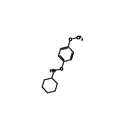 FC(F)(F)Oc1ccc(ONC2CCCCC2)cc1